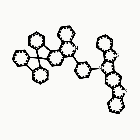 c1cc(-c2nc3ccccc3c3c4c(ccc23)C2(c3ccccc3-c3ccccc32)c2ccccc2-4)cc(-n2c3cc4c(cc3c3sc5ccccc5c32)sc2ccccc24)c1